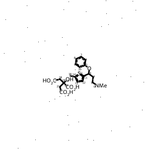 CNCCC(Oc1ccccc1)c1ccc(C)s1.O=C(O)CC(O)(CC(=O)O)C(=O)O